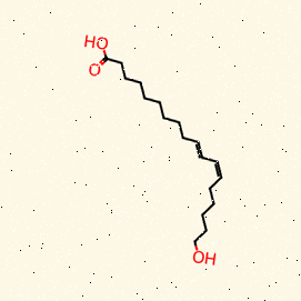 O=C(O)CCCCCCCC/C=C/C=C\CCCCCO